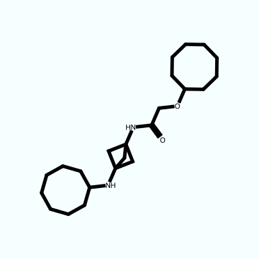 O=C(COC1CCCCCCC1)NC12CC(NC3CCCCCCC3)(C1)C2